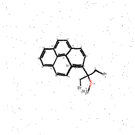 CC(C)CC(CC(C)C)(O[SiH2])c1ccc2ccc3cccc4ccc1c2c34